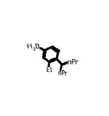 Bc1ccc(C(CCC)CCC)c(CC)c1